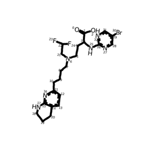 O=C(O)C(CCN(CCCCc1ccc2c(n1)NCCC2)CC(F)F)Nc1ncc(Br)cn1